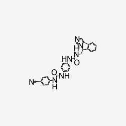 N#Cc1ccc(NC(=O)Nc2ccc(NC(=O)NCC3c4ccccc4-c4cncn43)cc2)cc1